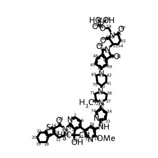 COc1ncc(-c2ccnc(N3CCc4c(sc5c4CCCC5)C3=O)c2C(C)(C)O)cc1Nc1ccc(N2CCN(C3CCN(c4ccc5c(c4)C(=O)N(C4CCC(=O)N(COP(=O)(O)O)C4=O)C5=O)CC3)C[C@@H]2C)cn1